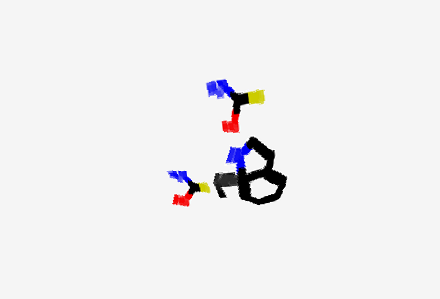 CNC.NC(O)=S.NC(O)=S.c1ccc2[nH]ccc2c1